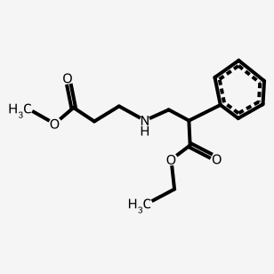 CCOC(=O)C(CNCCC(=O)OC)c1ccccc1